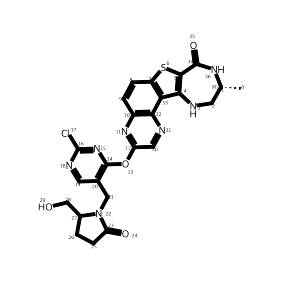 C[C@@H]1CNc2c(sc3ccc4nc(Oc5nc(Cl)ncc5CN5C(=O)CCC5CO)cnc4c23)C(=O)N1